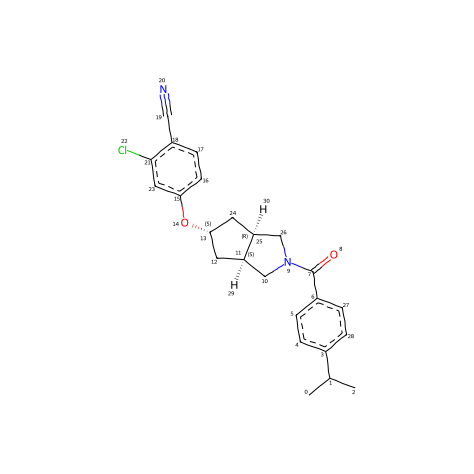 CC(C)c1ccc(C(=O)N2C[C@H]3C[C@H](Oc4ccc(C#N)c(Cl)c4)C[C@H]3C2)cc1